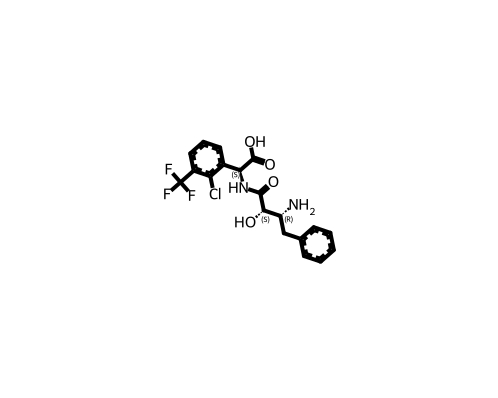 N[C@H](Cc1ccccc1)[C@H](O)C(=O)N[C@H](C(=O)O)c1cccc(C(F)(F)F)c1Cl